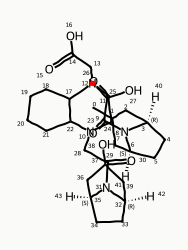 CC1C[C@H]2CC[C@@H](C1)N2C(=O)CN(CC(=O)O)C1CCCCC1N(CC(=O)O)CC(=O)N1[C@@H]2CC[C@H]1CC(O)C2